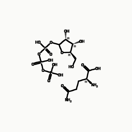 NC(=O)CC[C@H](N)C(=O)O.O=P(O)(O)OP(=O)(O)OP(=O)(O)OC1O[C@H](CO)[C@@H](O)[C@H]1O